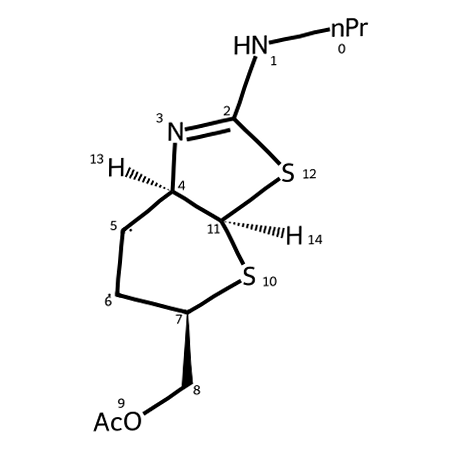 CCCNC1=N[C@@H]2[CH][CH][C@H](COC(C)=O)S[C@@H]2S1